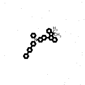 CC1(C)c2ccccc2-c2c(-c3ccc4cc(N(c5ccccc5)c5ccc(-c6ccc(-c7ccccc7)cc6)cc5)ccc4c3)cc3ccccc3c21